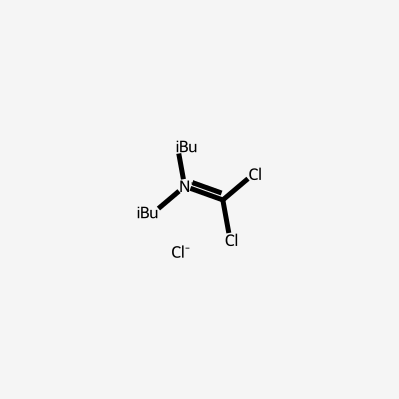 CCC(C)[N+](=C(Cl)Cl)C(C)CC.[Cl-]